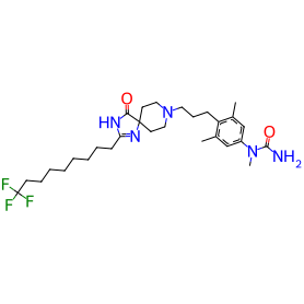 Cc1cc(N(C)C(N)=O)cc(C)c1CCCN1CCC2(CC1)N=C(CCCCCCCCC(F)(F)F)NC2=O